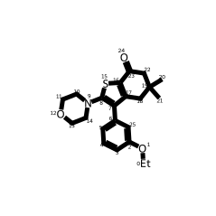 CCOc1cccc(-c2c(N3CCOCC3)sc3c2CC(C)(C)CC3=O)c1